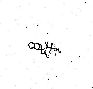 CCC(C)(C)C(=O)N1C(=O)CC12CC1CC2C2CCCC12